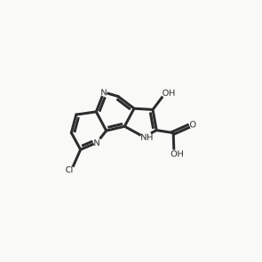 O=C(O)c1[nH]c2c(cnc3ccc(Cl)nc32)c1O